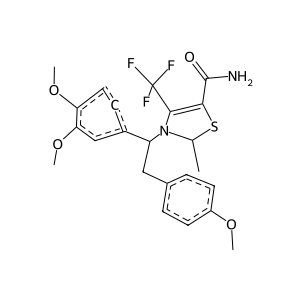 COc1ccc(CC(c2ccc(OC)c(OC)c2)N2C(C(F)(F)F)=C(C(N)=O)SC2C)cc1